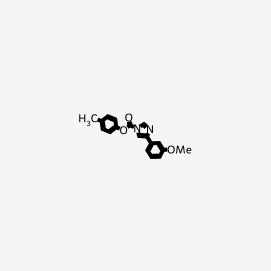 COc1cccc(-c2cn(C(=O)Oc3ccc(C)cc3)cn2)c1